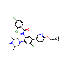 CC1CN(c2cc(F)c(-c3ccc(OCC4CC4)nc3)cc2NC(=O)c2ccc(F)cc2Cl)CC(C)N1C